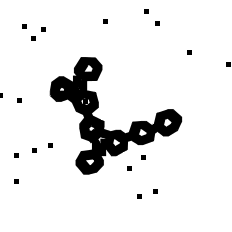 C1=CCCC(C2CC=C(C3=CC4c5cc(C6=Cc7c(n(C8=CCCC=C8)c8ccccc78)CC6)ccc5N(C5=CC=CCC5)C4CC3)CC2)=C1